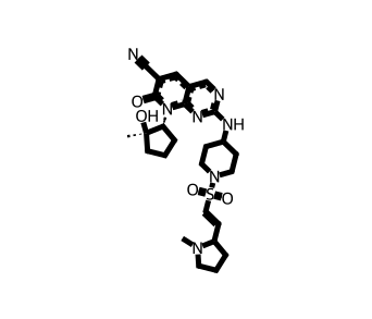 CN1CCCC1/C=C/S(=O)(=O)N1CCC(Nc2ncc3cc(C#N)c(=O)n([C@@H]4CCC[C@@]4(C)O)c3n2)CC1